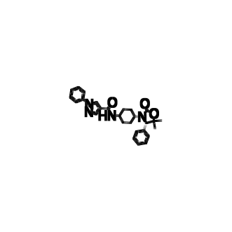 CC1(C)OC(=O)N([C@H]2CC[C@H](NC(=O)c3cnn(-c4ccccc4)c3)CC2)[C@H]1c1ccccc1